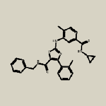 Cc1ccc(C(=O)NC2CC2)cc1Nc1nc(-c2ccccc2C)c(C(=O)NCc2ccccc2)s1